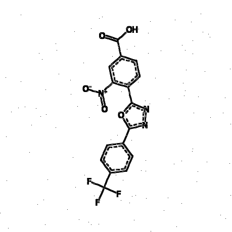 O=C(O)c1ccc(-c2nnc(-c3ccc(C(F)(F)F)cc3)o2)c([N+](=O)[O-])c1